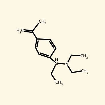 C=C(C)c1ccc([SiH](CC)N(CC)CC)cc1